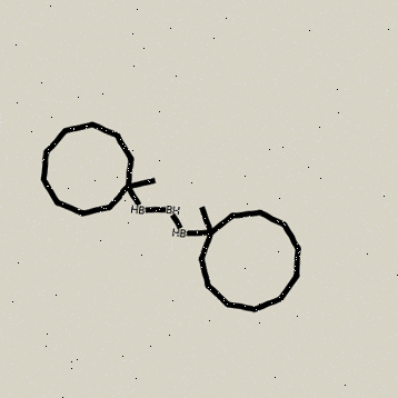 CC1(BBBC2(C)CCCCCCCCC2)CCCCCCCCCC1